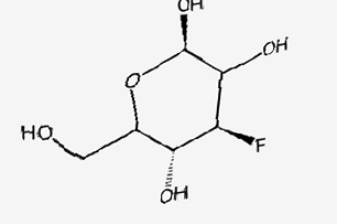 OCC1O[C@@H](O)C(O)[C@@H](F)[C@@H]1O